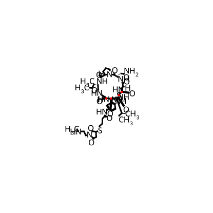 CCC(C)[C@@H]1NC(=O)[C@@H]2CCCN2C(=O)[C@H](CC(N)=O)NC(=O)[C@@H]2CSc3[nH]c4ccc(NC(=O)CCCSC5CC(=O)N(CCNC)C5=O)cc4c3C[C@H](NC1=O)C(=O)NCC(=O)N[C@@H]([C@@H](C)CC)C(=O)NCC(=O)N2